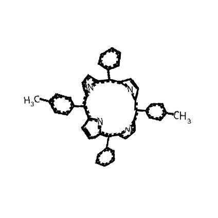 Cc1ccc(-c2c3nc(c(-c4ccccc4)c4ccc([nH]4)c(-c4ccc(C)cc4)c4nc(c(-c5ccccc5)c5ccc2[nH]5)C=C4)C=C3)cc1